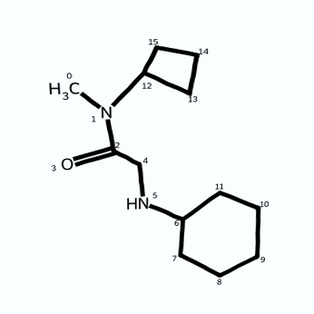 CN(C(=O)CNC1CCCCC1)C1CCC1